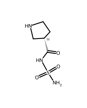 NS(=O)(=O)NC(=O)[C@H]1CCNC1